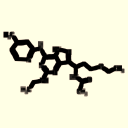 CCNc1nc(Nc2cc(C)ccn2)c2[nH]nc(C(CCOCC)NC(C)=O)c2n1